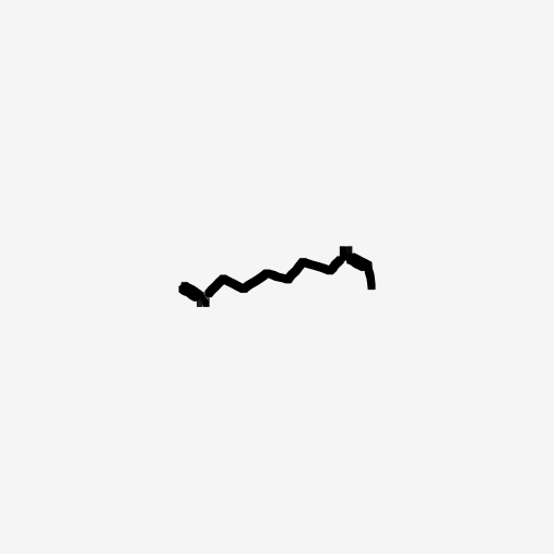 C=NCCCCCC/N=C\C